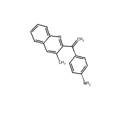 C=C(c1ccc(N)cc1)c1nc2ccccc2cc1C